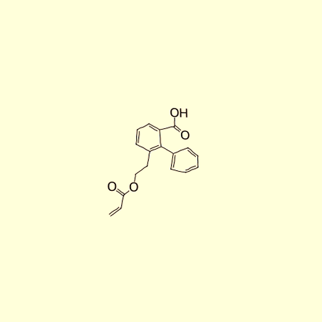 C=CC(=O)OCCc1cccc(C(=O)O)c1-c1ccccc1